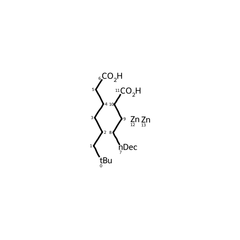 CC(C)(C)CCCCCC(=O)O.CCCCCCCCCCCCCC(=O)O.[Zn].[Zn]